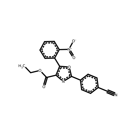 CCOC(=O)c1nc(-c2ccc(C#N)cc2)oc1-c1ccccc1[N+](=O)[O-]